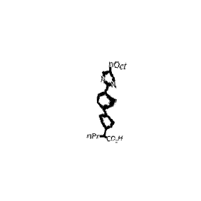 CCCCCCCCc1cnc(-c2ccc(-c3ccc(C(CCC)C(=O)O)cc3)cc2)nc1